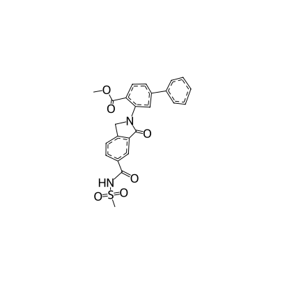 COC(=O)c1ccc(-c2ccccc2)cc1N1Cc2ccc(C(=O)NS(C)(=O)=O)cc2C1=O